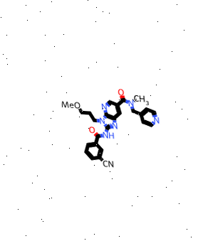 COCCCn1c(NC(=O)c2cccc(C#N)c2)nc2cc(C(=O)N(C)Cc3ccncc3)cnc21